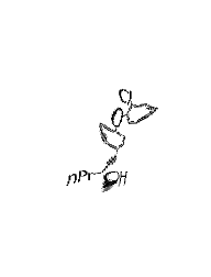 CCCC(O)C#Cc1ccc(Oc2ccccc2Cl)cc1